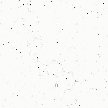 CC1CCN(c2ccc(Nc3ncc4c(n3)N(C)c3ccccc3C(=O)N4C)cc2)CC1